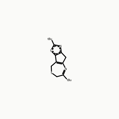 CC(C)(C)C1=NC2=C(CSC1)c1sc(C(C)(C)C)nc1C2